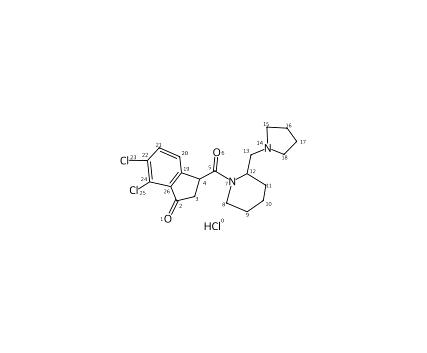 Cl.O=C1CC(C(=O)N2CCCCC2CN2CCCC2)c2ccc(Cl)c(Cl)c21